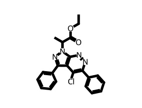 CCOC(=O)C(C)n1nc(-c2ccccc2)c2c(Cl)c(-c3ccccc3)nnc21